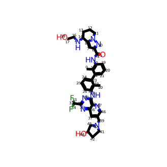 Cc1c(NC(=O)c2cc3n(n2)CCCC3NCCO)cccc1-c1cccc(Nc2nc(C(F)F)nc3cc(CN4CC[C@@H](O)C4)cnc23)c1C